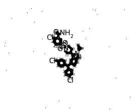 NC(=O)c1cc(S(=O)(=O)N2CCC(c3c4cc(C(c5ccc(Cl)cc5)c5ccc(Cl)cc5)ccc4nn3C3CC3)CC2)ccc1Cl